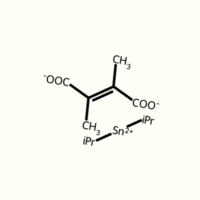 CC(C(=O)[O-])=C(C)C(=O)[O-].C[CH](C)[Sn+2][CH](C)C